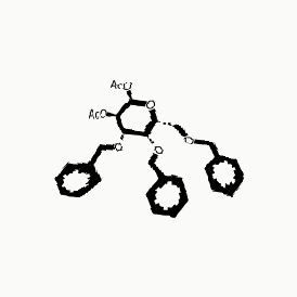 CC(=O)O[C@H]1O[C@H](COCc2ccccc2)[C@H](OCc2ccccc2)[C@H](OCc2ccccc2)[C@H]1OC(C)=O